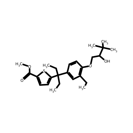 CCc1cc(C(CC)(CC)c2ccc(C(=O)OC)s2)ccc1OCC(O)C(C)(C)C